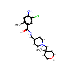 COc1cc(N)c(Cl)cc1C(=O)NCC1CCN(CC2(C(=O)O)CCOCC2)CC1